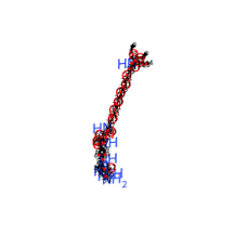 C#CCOCC(COC#C)(COCC#C)NC(=O)CCOCCOCCOCCOCCOCCOCCNC(=O)CC[C@H](NC(=O)c1ccc(NCc2cnc3nc(N)[nH]c(=O)c3n2)cc1)C(=O)O